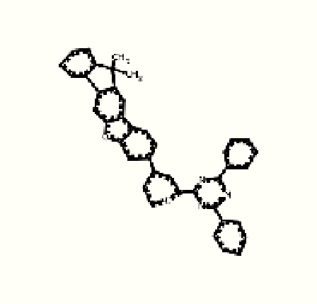 CC1(C)c2ccccc2-c2cc3oc4cc(-c5cccc(-c6nc(-c7ccccc7)nc(-c7ccccc7)n6)c5)ccc4c3cc21